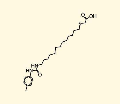 Cc1ccc(NC(=O)NCCCCCCCCCCCCCSCC(=O)O)cc1